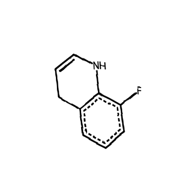 Fc1cccc2c1NC=CC2